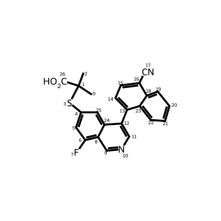 CC(C)(Sc1cc(F)c2cncc(-c3ccc(C#N)c4ccccc34)c2c1)C(=O)O